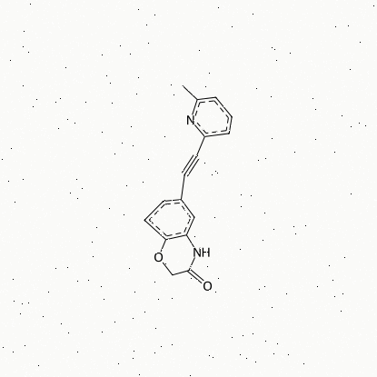 Cc1cccc(C#Cc2ccc3c(c2)NC(=O)CO3)n1